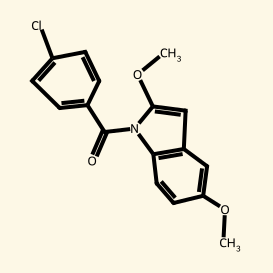 COc1ccc2c(c1)cc(OC)n2C(=O)c1ccc(Cl)cc1